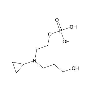 O=P(O)(O)OCCN(CCCO)C1CC1